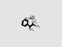 CC(C)=C(C)c1ccccc1.CN.Cl